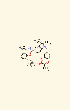 COC(=O)C(C)Oc1ccc(Cn2c(C)c(C)c3cc(C(=O)NC(C)c4cccc(C(C)C)c4)ccc32)cc1